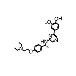 CCN(CC)CCOc1ccc([C@H](C)Nc2cncc(-c3ccc(O)c(OC)c3)n2)cc1